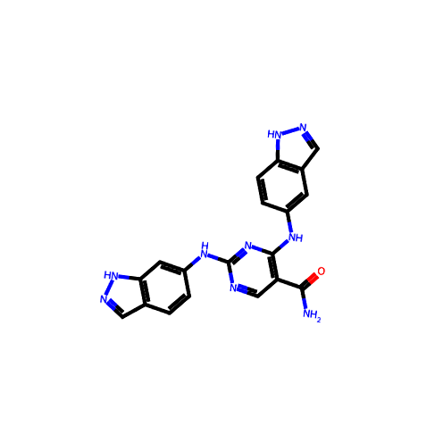 NC(=O)c1cnc(Nc2ccc3cn[nH]c3c2)nc1Nc1ccc2[nH]ncc2c1